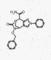 NC(=O)C1c2nn(-c3ccccc3)cc2C2CN1C(=O)N2OCc1ccccc1